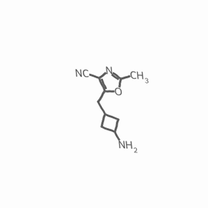 Cc1nc(C#N)c(CC2CC(N)C2)o1